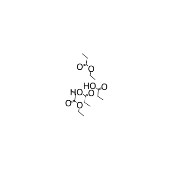 CCC(=O)O.CCC(=O)O.CCOC(=O)CC.CCOC(=O)CC